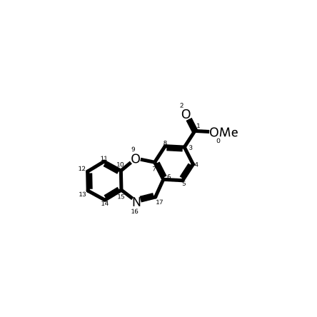 COC(=O)c1ccc2c(c1)Oc1ccccc1N=C2